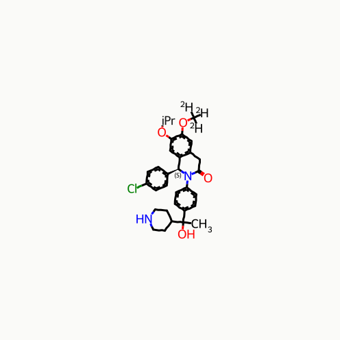 [2H]C([2H])([2H])Oc1cc2c(cc1OC(C)C)[C@H](c1ccc(Cl)cc1)N(c1ccc(C(C)(O)C3CCNCC3)cc1)C(=O)C2